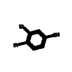 CCc1cc(O)ccc1C(C)C